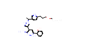 CC(c1ccc(CCCOCC(=O)O)nc1)n1cc(C2=C(N)NNC(c3ccccc3O)=C2)cn1